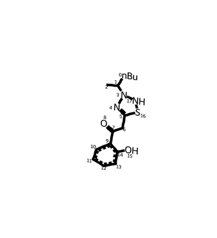 CCCCC(C)N1N=C(CC(=O)c2ccccc2O)SN1